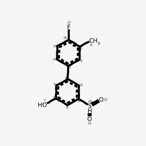 Cc1cc(-c2cc(O)cc([SH](=O)=O)c2)ccc1F